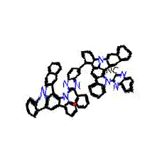 N#Cc1nc2ccccc2nc1-n1c2ccccc2c2cc3c4c(-c5ccc6nc(-n7c8ccccc8c8cc9c%10ccccc%10n%10c%11cc%12ccccc%12cc%11c(c87)c9%10)c(-c7ccccc7)nc6c5)cccc4n4c5cc6ccccc6cc5c(c21)c34